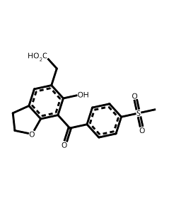 CS(=O)(=O)c1ccc(C(=O)c2c(O)c(CC(=O)O)cc3c2OCC3)cc1